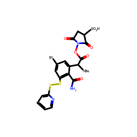 CCCCC(C(=O)ON1C(=O)CC(S(=O)(=O)O)C1=O)c1cc(CC)cc(SSc2ccccn2)c1C(N)=O